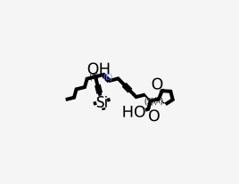 CCCCC[C@@](O)(C#C[Si](C)(C)C)/C=C/CC#CCC[C@H](C(=O)O)[C@H]1CCCC1=O